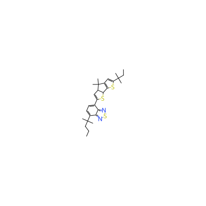 CCCC(C)(C)c1ccc(C2=CC3C(S2)c2sc(C(C)(C)CC)cc2C3(C)C)c2nsnc12